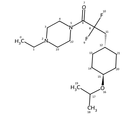 CCN1CCN(C(=O)C(F)(F)C[C@H]2CC[C@H](OC(C)C)CC2)CC1